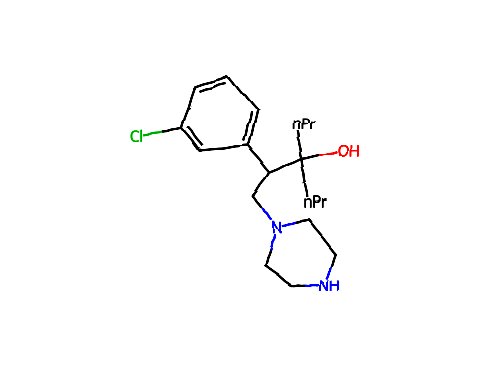 CCCC(O)(CCC)C(CN1CCNCC1)c1cccc(Cl)c1